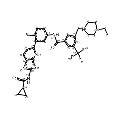 CCN1CCN(Cc2cc(C(=O)Nc3ccc(C)c(-c4ccc5nc(NC(=O)C6CC6)sc5n4)c3)cc(C(F)(F)F)c2)CC1